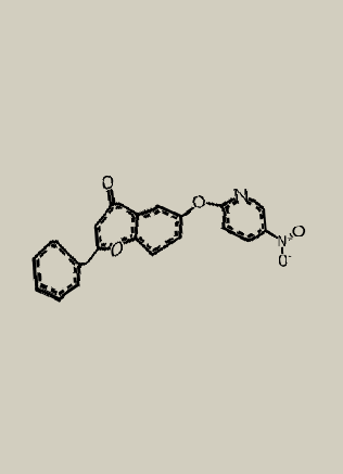 O=c1cc(-c2ccccc2)oc2ccc(Oc3ccc([N+](=O)[O-])cn3)cc12